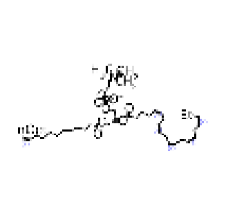 CC/C=C\C/C=C\C/C=C\C/C=C\C/C=C\CCCC(=O)O[C@H](COC(=O)CCCCCCCCC/C=C\CCCCCCCC)COP(=O)([O-])OCC[N+](C)(C)C